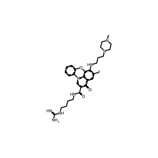 CN1CCN(CCCNc2c(F)cc3c(=O)c(C(=O)NCCCCNC(=N)N)cn4c3c2Oc2ccccc2-4)CC1